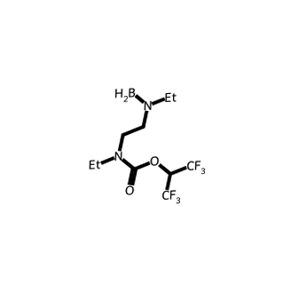 BN(CC)CCN(CC)C(=O)OC(C(F)(F)F)C(F)(F)F